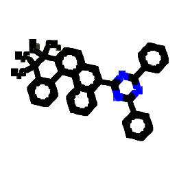 CC1(C)c2ccccc2-c2c(ccc3cc(-c4nc(-c5ccccc5)nc(-c5ccccc5)n4)c4ccccc4c23)C1(C)C